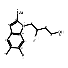 Cc1cc2cc(C(C)(C)C)n(CC(O)CCO)c2cc1F